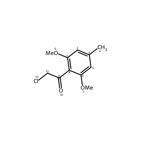 COc1cc(C)cc(OC)c1C(=O)CCl